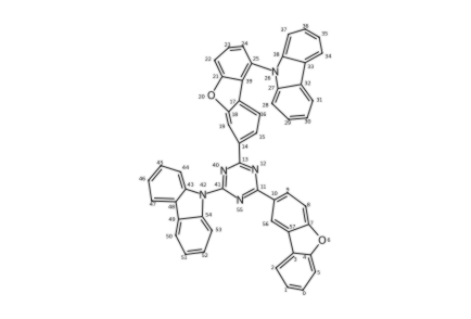 c1ccc2c(c1)oc1ccc(-c3nc(-c4ccc5c(c4)oc4cccc(-n6c7ccccc7c7ccccc76)c45)nc(-n4c5ccccc5c5ccccc54)n3)cc12